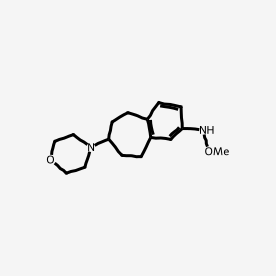 CONc1ccc2c(c1)CCC(N1CCOCC1)CC2